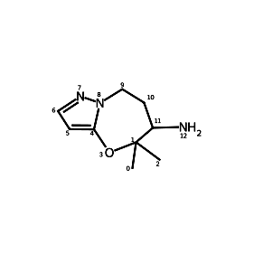 CC1(C)Oc2ccnn2CCC1N